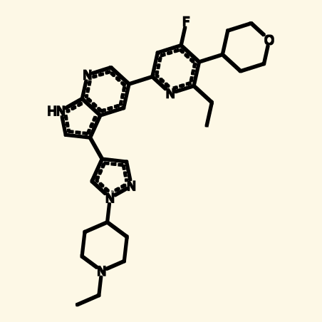 CCc1nc(-c2cnc3[nH]cc(-c4cnn(C5CCN(CC)CC5)c4)c3c2)cc(F)c1C1CCOCC1